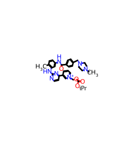 Cc1ccc(NC(=O)c2ccc(CN3CCN(C)CC3)cc2)cc1Nc1nccc(-c2ccc[n+](COC(=O)OC(C)C)c2)n1